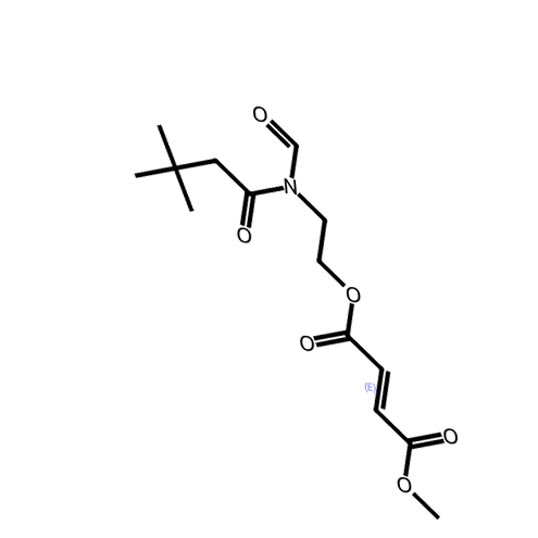 COC(=O)/C=C/C(=O)OCCN(C=O)C(=O)CC(C)(C)C